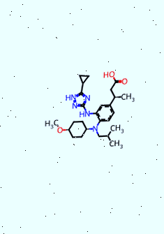 CO[C@H]1CC[C@@H](N(CC(C)C)c2ccc([C@H](C)CC(=O)O)cc2Nc2n[nH]c(C3CC3)n2)CC1